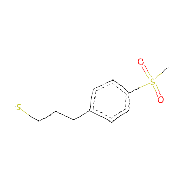 CS(=O)(=O)c1ccc(CCC[S])cc1